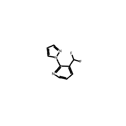 FC(F)c1cccnc1-n1c[c]cn1